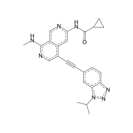 CNc1ncc(C#Cc2ccc3nnn(C(C)C)c3c2)c2cc(NC(=O)C3CC3)ncc12